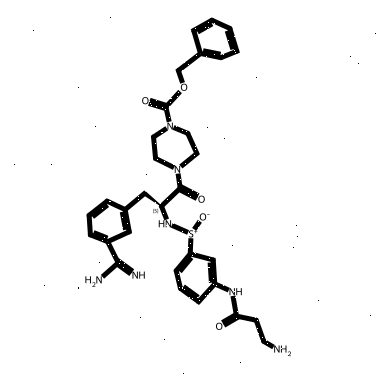 N=C(N)c1cccc(C[C@H](N[S+]([O-])c2cccc(NC(=O)CCN)c2)C(=O)N2CCN(C(=O)OCc3ccccc3)CC2)c1